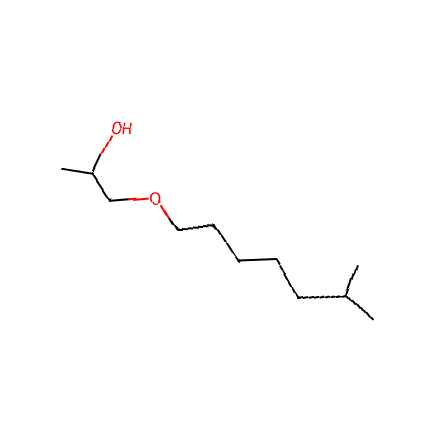 CC(C)CCCCCOCC(C)O